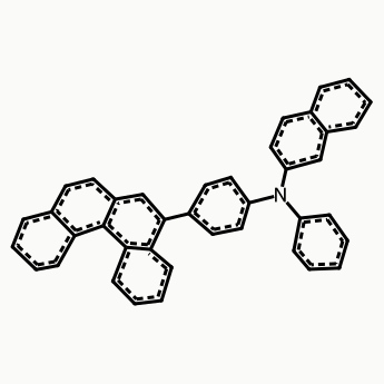 c1ccc(N(c2ccc(-c3cc4ccc5ccccc5c4c4ccccc34)cc2)c2ccc3ccccc3c2)cc1